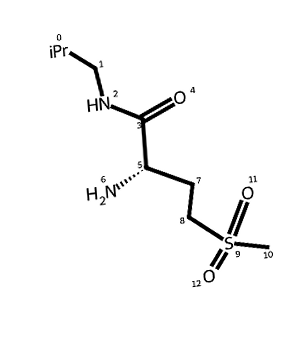 CC(C)CNC(=O)[C@@H](N)CCS(C)(=O)=O